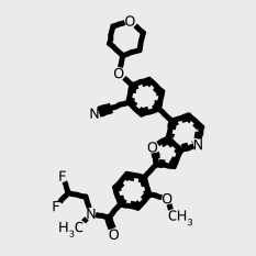 COc1cc(C(=O)N(C)CC(F)F)ccc1-c1cc2nccc(-c3ccc(OC4CCOCC4)c(C#N)c3)c2o1